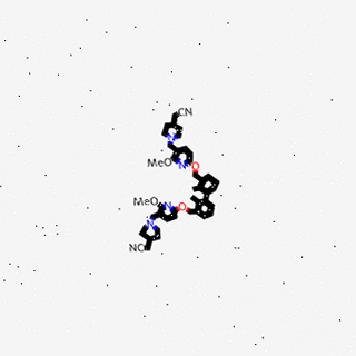 COc1nc(OCc2cccc(-c3cccc(COc4ccc(CN5CCC(CC#N)CC5)c(OC)n4)c3C)c2C)ccc1CN1CCC(CC#N)CC1